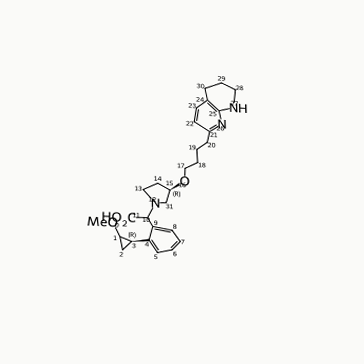 COC1C[C@@H]1c1ccccc1C(C(=O)O)N1CC[C@@H](OCCCCc2ccc3c(n2)NCCC3)C1